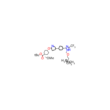 COC[C@]1(C(=O)OC(C)(C)C)CC[C@H](Oc2ccc(-c3ccc(-c4nc(C(F)(F)F)nn4COCC[Si](C)(C)C)cc3)cn2)CC1